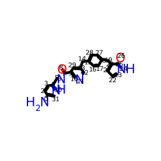 Nc1ccc(CNC(=O)c2cncc(Cc3ccc(Cc4ccc[nH]c4=O)cc3)c2)nc1